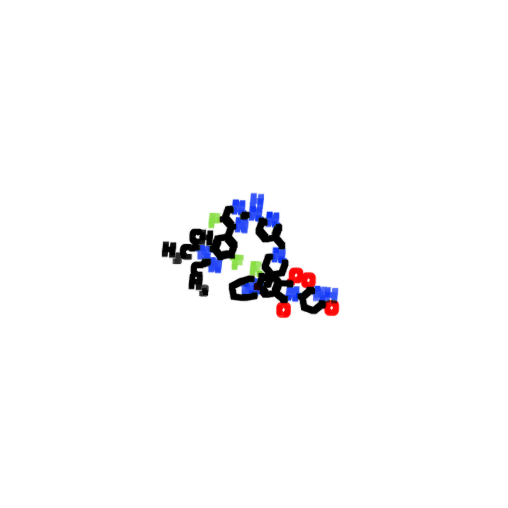 Cc1nc2c(F)cc(-c3nc(Nc4ccc(CN5CCC(CN6CC7CCC(C6)N7c6cc7c(cc6F)C(=O)N(C6CCC(=O)NC6=O)C7=O)CC5)cn4)ncc3F)cc2n1C(C)C